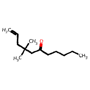 C=CCC(C)(C)CC(=O)CCCCC